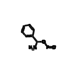 NC(OP=O)c1ccccc1